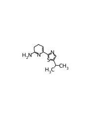 CC(C)c1cnc(C2=CCCC(N)=N2)s1